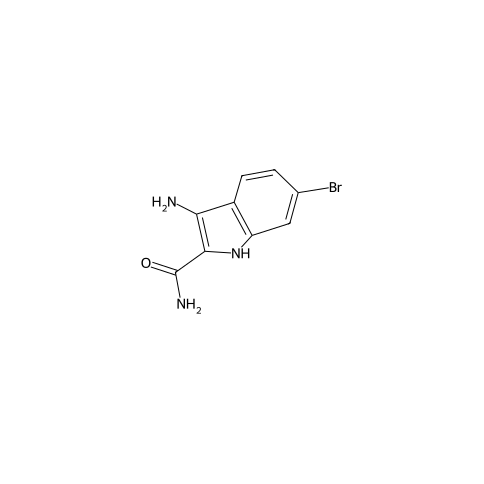 NC(=O)c1[nH]c2cc(Br)ccc2c1N